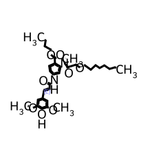 CCCCCCCCOCC(=O)N(C)c1cc(NC(=O)/C=C/c2cc(OC)c(O)c(OC)c2)ccc1C(=O)OCCCC